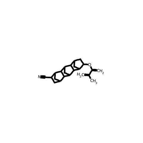 C=C(C)C(=C)OC1CC2CC1C1C3CC(C21)C1C2CC(CC2C#N)C31